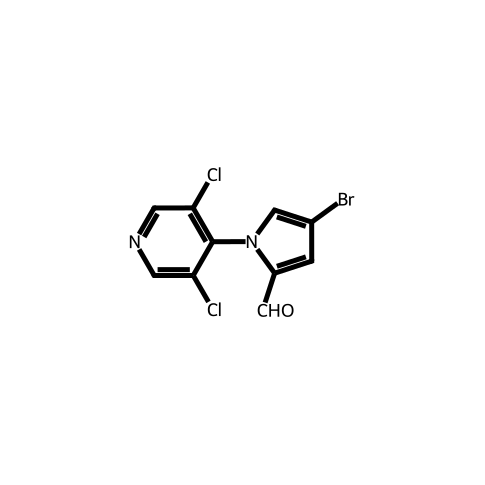 O=Cc1cc(Br)cn1-c1c(Cl)cncc1Cl